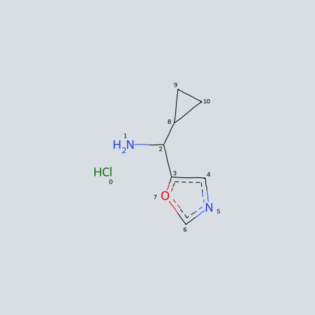 Cl.NC(c1cnco1)C1CC1